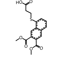 COC(=O)c1cc2cccc(SCCC(=O)O)c2cc1C(=O)OC